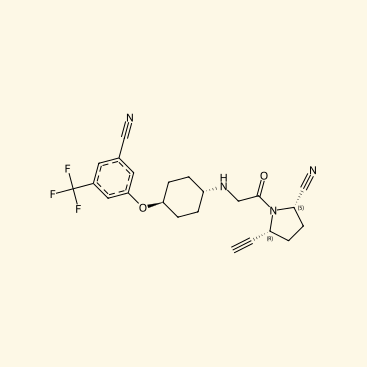 C#C[C@H]1CC[C@@H](C#N)N1C(=O)CN[C@H]1CC[C@H](Oc2cc(C#N)cc(C(F)(F)F)c2)CC1